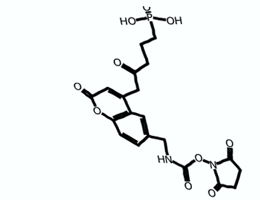 O=C(CCCP(=O)(O)O)Cc1cc(=O)oc2ccc(CNC(=O)ON3C(=O)CCC3=O)cc12